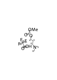 COC(=O)OCCCN(C)C.O=C(O)C(F)(F)F